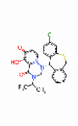 C[C@H](N1CN([C@H]2c3ccccc3CSc3cc(Cl)ccc32)n2ccc(=O)c(O)c2C1=O)C(F)(F)F